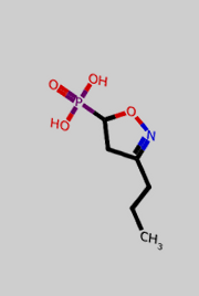 CCCC1=NOC(P(=O)(O)O)C1